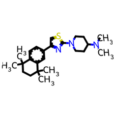 CN(C)C1CCN(c2nc(-c3ccc4c(c3)C(C)(C)CCC4(C)C)cs2)CC1